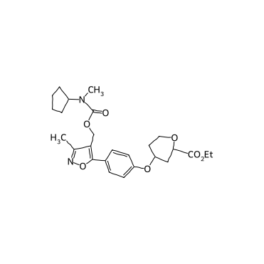 CCOC(=O)C1CC(Oc2ccc(-c3onc(C)c3COC(=O)N(C)C3CCCC3)cc2)CCO1